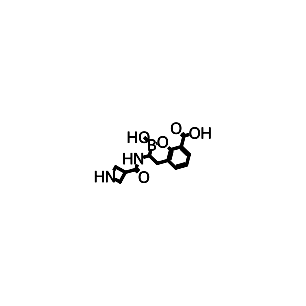 O=C(O)c1cccc2c1OB(O)C(NC(=O)C1CNC1)C2